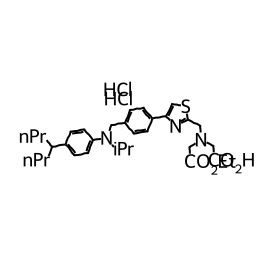 CCCC(CCC)c1ccc(N(Cc2ccc(-c3csc(CN(CC(=O)O)CC(=O)OCC)n3)cc2)C(C)C)cc1.Cl.Cl